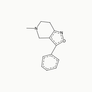 CN1CCc2noc(-c3ccccc3)c2C1